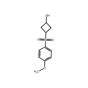 COc1ccc(S(=O)(=O)C2CC(O)C2)cc1